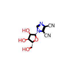 N#Cc1ncn([C@@H]2O[C@H](CO)[C@@H](O)[C@H]2O)c1C#N